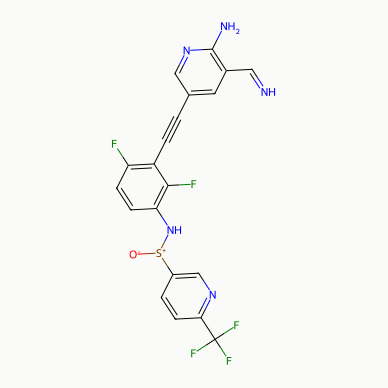 N=Cc1cc(C#Cc2c(F)ccc(N[S+]([O-])c3ccc(C(F)(F)F)nc3)c2F)cnc1N